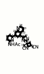 CC(=O)Nc1cccc(-c2cc(-c3cnn([C@]4(CC#N)C[C@@H](C#N)C4)n3)c3cccnc3c2)n1